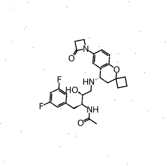 CC(=O)N[C@@H](Cc1cc(F)cc(F)c1)[C@@H](O)CN[C@H]1CC2(CCC2)Oc2ccc(N3CCC3=O)cc21